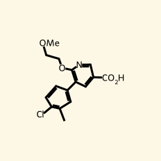 COCCOc1ncc(C(=O)O)cc1-c1ccc(Cl)c(C)c1